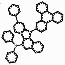 c1ccc(-c2ccc3c4c(N(c5ccccc5)c5ccccc5)cc5ccccc5c4n(-c4ccc5c6ccccc6c6ccccc6c5c4)c3c2)cc1